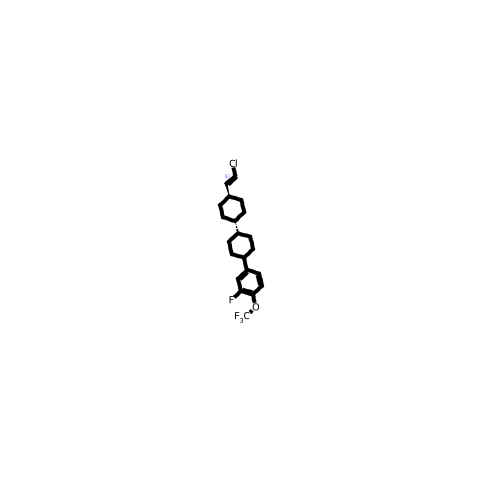 Fc1cc(C2CCC([C@H]3CC[C@H](/C=C/Cl)CC3)CC2)ccc1OC(F)(F)F